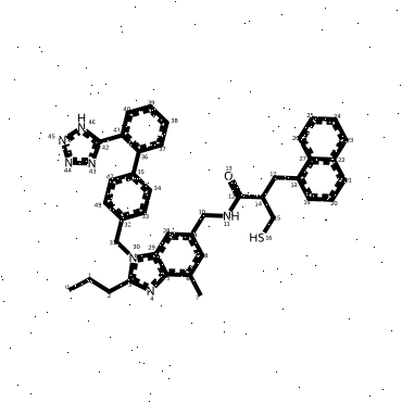 CCCc1nc2c(C)cc(CNC(=O)C(CS)Cc3cccc4ccccc34)cc2n1Cc1ccc(-c2ccccc2-c2nnn[nH]2)cc1